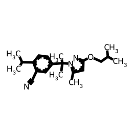 Cc1cc(OCC(C)C)nn1C(C)(C)c1ccc(C(C)C)c(C#N)c1